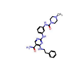 CN1CCN(C(=O)Nc2cccc(Nc3ncc(C(N)=O)c(NCCc4ccccc4)n3)c2)CC1